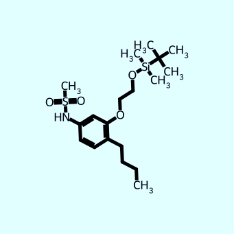 CCCCc1ccc(NS(C)(=O)=O)cc1OCCO[Si](C)(C)C(C)(C)C